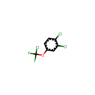 FC(F)(Cl)Oc1ccc(Cl)c(Cl)c1